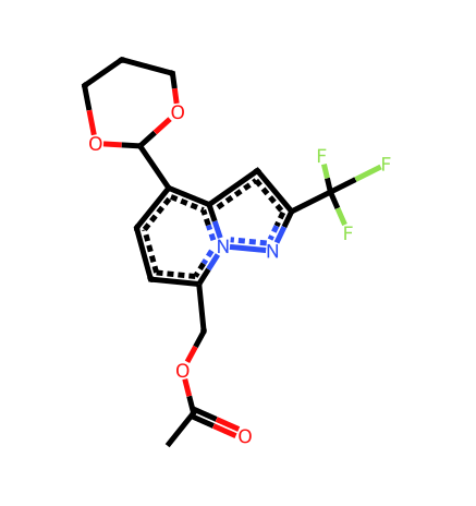 CC(=O)OCc1ccc(C2OCCCO2)c2cc(C(F)(F)F)nn12